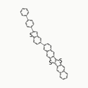 c1ccc(-c2ccc(-c3cc4cc(-c5ccc6cc7c(cc6c5)sc5c6cc8ccccc8cc6sc75)ccc4s3)cc2)cc1